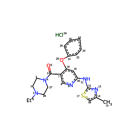 CCN1CCN(C(=O)c2cnc(Nc3nc(C)cs3)cc2Oc2ccccc2)CC1.Cl